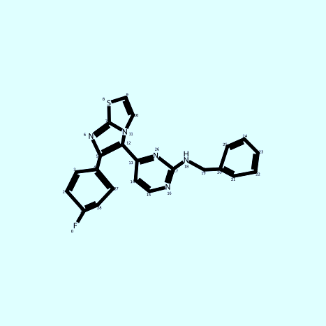 Fc1ccc(-c2nc3sccn3c2-c2ccnc(NCc3ccccc3)n2)cc1